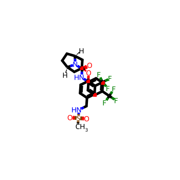 CS(=O)(=O)NCc1ccc(O[C@H]2C[C@H]3CC[C@@H](C2)N3C(=O)Nc2ccc(C(F)(F)F)cc2)c(C(F)(F)F)c1